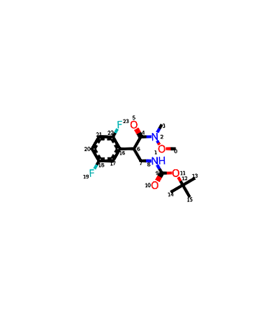 CON(C)C(=O)C(CNC(=O)OC(C)(C)C)c1cc(F)ccc1F